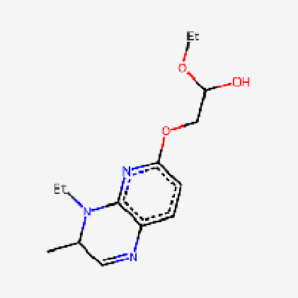 CCOC(O)COc1ccc2c(n1)N(CC)C(C)C=N2